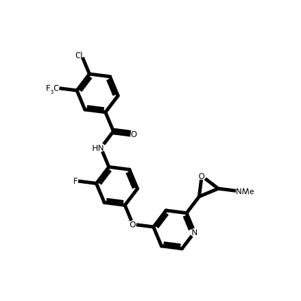 CNC1OC1c1cc(Oc2ccc(NC(=O)c3ccc(Cl)c(C(F)(F)F)c3)c(F)c2)ccn1